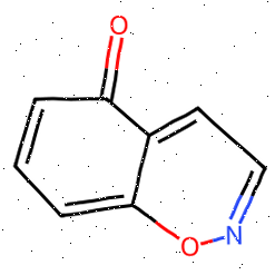 O=c1cccc2onccc1-2